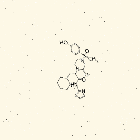 C=S(=O)(c1ccc(O)cc1)N1CCN([C@@H](CC2CCCCC2)C(=O)Nc2nccs2)C(=O)C1